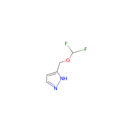 FC(F)OCc1c[c]n[nH]1